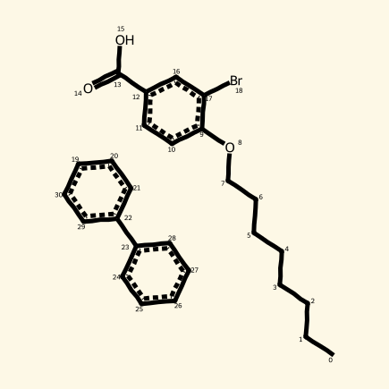 CCCCCCCCOc1ccc(C(=O)O)cc1Br.c1ccc(-c2ccccc2)cc1